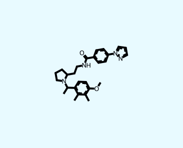 COc1ccc(C(C)N2CCCC2CCNC(=O)c2ccc(-n3cccn3)cc2)c(C)c1C